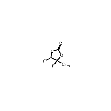 CC1(F)OC(=O)OC1F